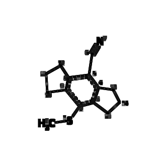 CSc1c2c(c(C#N)c3c1CCC3)CCC2